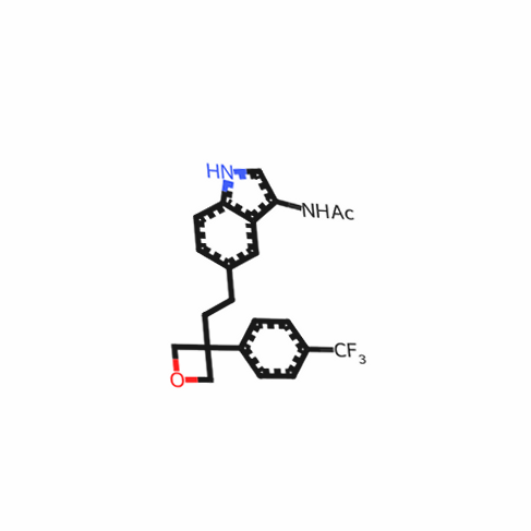 CC(=O)Nc1c[nH]c2ccc(CCC3(c4ccc(C(F)(F)F)cc4)COC3)cc12